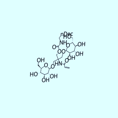 C=CC(=O)NC(COC(=O)NCCCCCCCCCCC)(CO[C@@H]1O[C@H](CO)[C@@H](O)[C@H](O)[C@H]1O)CO[C@@H]1O[C@H](CO)[C@@H](O)[C@H](O)[C@H]1O